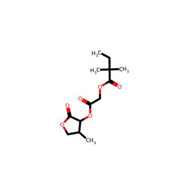 CCC(C)(C)C(=O)OCC(=O)OC1C(=O)OCC1C